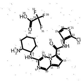 N[C@H]1CCCC[C@H]1Nc1ncc2ccc(C(=O)Nc3ccsc3Cl)n2n1.O=C(O)C(F)(F)F